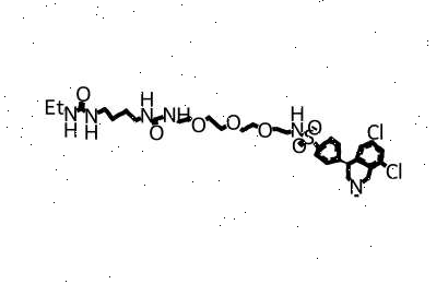 CCNC(=O)NCCCCNC(=O)NCCOCCOCCOCCNS(=O)(=O)c1ccc([C@@H]2CN(C)Cc3c(Cl)cc(Cl)cc32)cc1